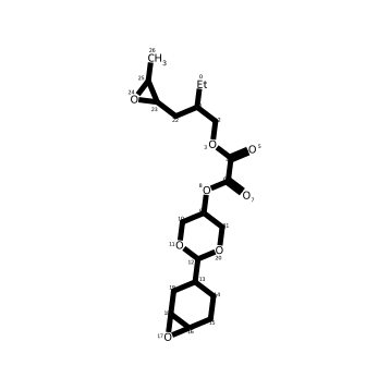 CCC(COC(=O)C(=O)OC1COC(C2CCC3OC3C2)OC1)CC1OC1C